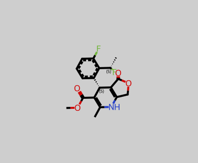 COC(=O)C1=C(C)NC2=C(C(=O)OC2)[C@H]1c1cccc(F)c1[C@H](C)F